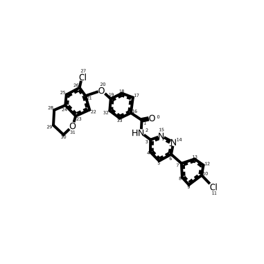 O=C(Nc1ccc(-c2ccc(Cl)cc2)nn1)c1ccc(Oc2cc3c(cc2Cl)CCCO3)cc1